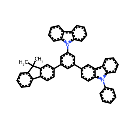 CC1(C)c2ccccc2-c2ccc(-c3cc(-c4ccc5c(c4)c4ccccc4n5-c4ccccc4)cc(-n4c5ccccc5c5ccccc54)c3)cc21